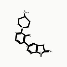 COC1CCN(c2cccc(-c3ccc4c(c3)CC(=O)N4)c2Cl)CC1